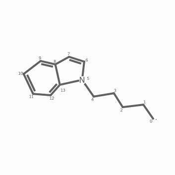 [CH2]CCCCn1ccc2ccccc21